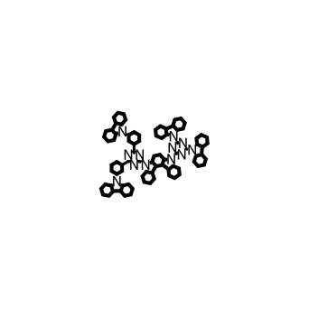 c1cc(-c2nc(-c3cccc(-n4c5ccccc5c5ccccc54)c3)nc(-n3c4ccccc4c4c5c6ccccc6n(-c6nc(-n7c8ccccc8c8ccccc87)nc(-n7c8ccccc8c8ccccc87)n6)c5ccc43)n2)cc(-n2c3ccccc3c3ccccc32)c1